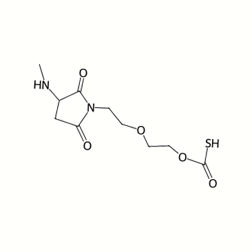 CNC1CC(=O)N(CCOCCOC(=O)S)C1=O